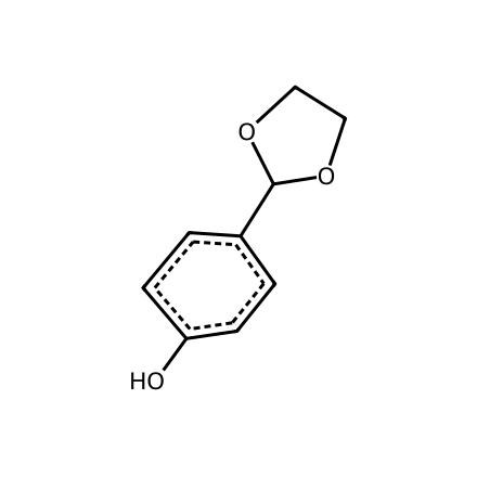 Oc1ccc(C2OCCO2)cc1